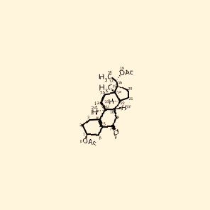 CC(=O)O[C@H]1CCC2=C(C1)C(=O)C[C@@H]1[C@@H]2CC[C@]2(C)[C@@H]([C@H](C)OC(C)=O)CC[C@@H]12